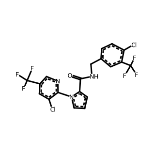 O=C(NCc1ccc(Cl)c(C(F)(F)F)c1)c1cccn1-c1ncc(C(F)(F)F)cc1Cl